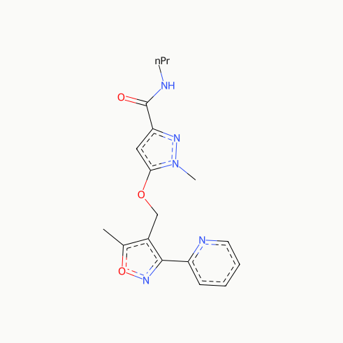 CCCNC(=O)c1cc(OCc2c(-c3ccccn3)noc2C)n(C)n1